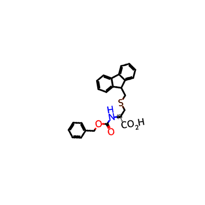 O=C(N[C@H](CSCC1c2ccccc2-c2ccccc21)C(=O)O)OCc1ccccc1